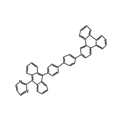 c1cnc(-c2c3ccccc3c(-c3ccc(-c4ccc(-c5ccc6c7ccccc7c7ccccc7c6c5)cc4)cc3)c3ccccc23)nc1